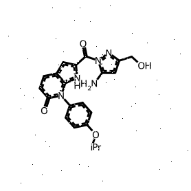 CC(C)Oc1ccc(-n2c(=O)ccc3cc(C(=O)n4nc(CO)cc4N)[nH]c32)cc1